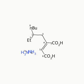 CCCCC(CC)CC(=CC(=O)O)C(=O)O.N.N